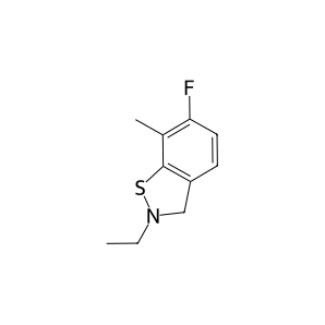 CCN1Cc2ccc(F)c(C)c2S1